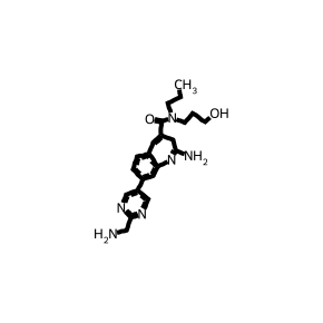 CCCN(CCCO)C(=O)C1=Cc2ccc(-c3cnc(CN)nc3)cc2N=C(N)C1